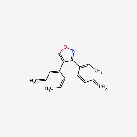 C=C/C=C\C(=C/C)c1nocc1C(/C=C\C)=C/C=C